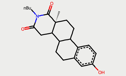 CCCCN1C(=O)CC2C3CCc4cc(O)ccc4C3CC[C@]2(C)C1=O